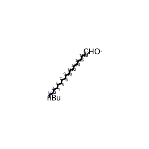 CCCC/C=C/CCCCCCCCCCCCCCCC[C]=O